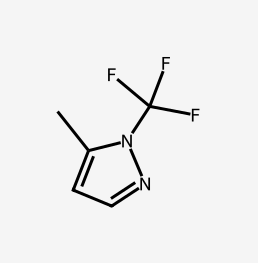 Cc1ccnn1C(F)(F)F